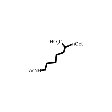 CCCCCCCCC(CCCCCNC(C)=O)C(=O)O